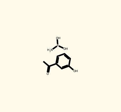 CC(=O)c1cccc(O)c1.NP(O)O